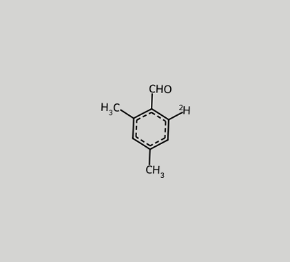 [2H]c1cc(C)cc(C)c1C=O